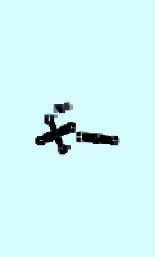 O=S(=O)([O-])[O-].O=[Si]=O.[Ni+2]